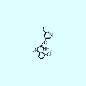 CCc1cncc(OC[C@@H](N)CN(C)c2cccc(Cl)c2)c1